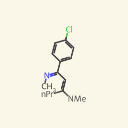 CCC/C(=C\C(=N/C)c1ccc(Cl)cc1)NC